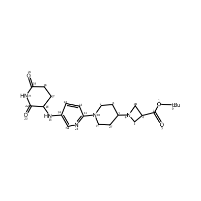 CC(C)(C)OC(=O)C1CN(C2CCN(c3ccc(NC4CCC(=O)NC4=O)cn3)CC2)C1